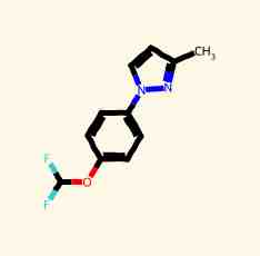 Cc1ccn(-c2ccc(OC(F)F)cc2)n1